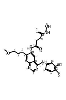 COCCOc1cc2ncnc(Nc3ccc(F)c(Cl)c3)c2cc1NC(=O)CCC(=O)NO